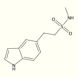 CNS(=O)(=O)CCc1ccc2[nH]ccc2c1